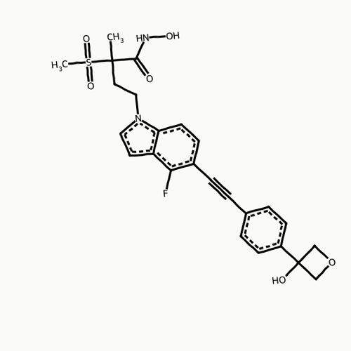 CC(CCn1ccc2c(F)c(C#Cc3ccc(C4(O)COC4)cc3)ccc21)(C(=O)NO)S(C)(=O)=O